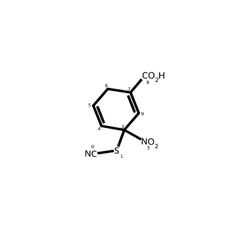 N#CSC1([N+](=O)[O-])C=CCC(C(=O)O)=C1